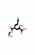 CCOC(=O)C(C=CC#N)C=C(C)C(=O)O